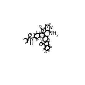 C=C(C)C(=O)Nc1ccc(-c2c(C3=CC[C@@]4(CC3)Cc3ccccc3C4=O)c3c(N)ncnc3n2C)cc1